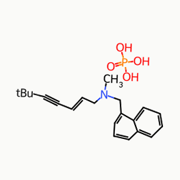 CN(C/C=C/C#CC(C)(C)C)Cc1cccc2ccccc12.O=P(O)(O)O